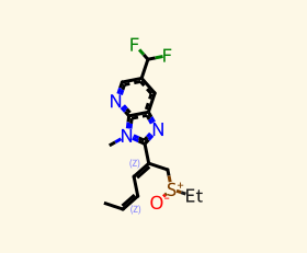 C/C=C\C=C(/C[S+]([O-])CC)c1nc2cc(C(F)F)cnc2n1C